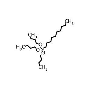 CCCCCCCCCC[Si](OCCCC)(OCCCC)OCCCC